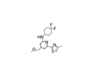 COCc1cc(NC2CCC(F)(F)CC2)nc(-c2nc(C)cs2)c1